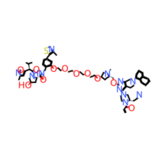 C=CC(=O)N1CCN(c2nc(OC[C@@H]3C[C@@H](OCCOCCOCCOCCOc4cc(-c5scnc5C)ccc4CNC(=O)[C@@H]4C[C@@H](O)CN4C(=O)[C@@H](c4cc(C)no4)C(C)C)CN3C)nc3c2CCN(c2cccc4ccccc24)C3)C[C@@H]1CC#N